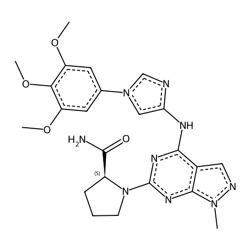 COc1cc(-n2cnc(Nc3nc(N4CCC[C@H]4C(N)=O)nc4c3cnn4C)c2)cc(OC)c1OC